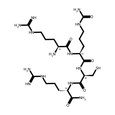 N=C(N)NCCC[C@H](NC(=O)[C@H](CS)NC(=O)[C@H](CCCNC(N)=O)NC(=O)[C@@H](N)CCCNC(=N)N)C(N)=O